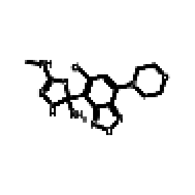 CNC1=NNC(N)(c2c(Cl)cc(N3CCOCC3)c3nonc23)S1